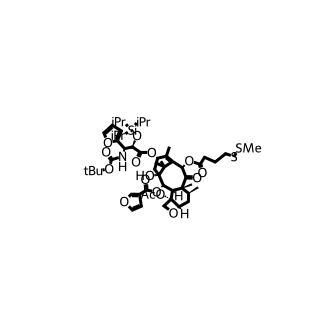 CSSCCCC(=O)O[C@H]1C(=O)[C@@]2(C)[C@H]([C@H](OC(=O)c3ccoc3)[C@]3(O)C[C@H](OC(=O)[C@H](O[Si](C(C)C)(C(C)C)C(C)C)[C@@H](NC(=O)OC(C)(C)C)c4ccco4)C(C)=C1C3(C)C)[C@]1(OC(C)=O)CO[C@@H]1C[C@@H]2C